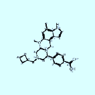 COc1cc(C)c2[nH]ccc2c1CN1CCN(CC2CCC2)CC1c1ccc(C(=O)O)cc1